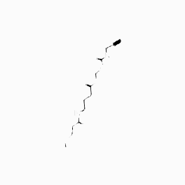 C#CCNC(=O)OCOC(=O)CCCNC(=O)CCOC